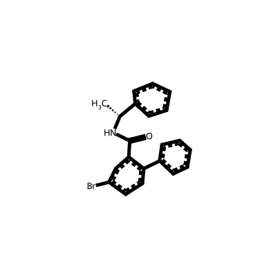 C[C@@H](NC(=O)c1cc(Br)ccc1-c1ccccc1)c1ccccc1